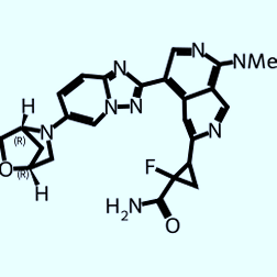 CNc1ncc(-c2nc3ccc(N4C[C@H]5C[C@@H]4CO5)cn3n2)c2cc(C3CC3(F)C(N)=O)ncc12